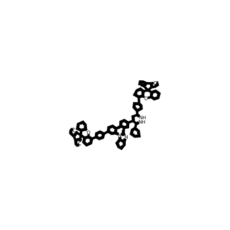 N=C(/C=C(\C(=N)c1ccccc1)c1ccc2c3ccc(-c4ccc(-c5cccc6c5Oc5ccccc5C65c6ccccc6-c6ccccc65)cc4)cc3n3c4ccccc4nc3c2c1)c1ccc(-c2cccc3c2Oc2ccccc2C32C3=C(CCC=C3)c3ccccc32)cc1